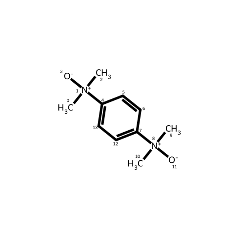 C[N+](C)([O-])c1ccc([N+](C)(C)[O-])cc1